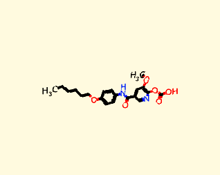 CCCCCCOc1ccc(NC(=O)c2cnc(OC(=O)O)c(OC)c2)cc1